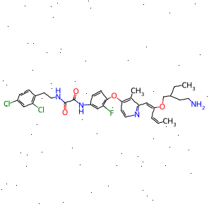 C/C=C\C(=C/c1nccc(Oc2ccc(NC(=O)C(=O)NCCc3ccc(Cl)cc3Cl)cc2F)c1C)OCC(CC)CCN